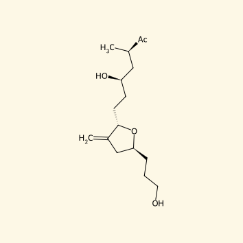 C=C1C[C@H](CCCO)O[C@H]1CC[C@@H](O)C[C@@H](C)C(C)=O